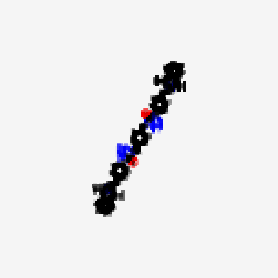 O=C(NCC1CCC(CNC(=O)NC2CCC(CCN3[C@@H]4CC[C@H]3c3ccccc34)CC2)CC1)NC1CCC(CCN2[C@@H]3CC[C@H]2c2ccccc23)CC1